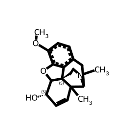 COc1ccc2c3c1OC1[C@@H](O)C=CC4(C)C(C2)N(C)CC[C@]314